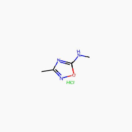 CNc1nc(C)no1.Cl